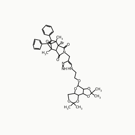 CC1(C)OCC2OC(OCCN/C=C(/CN3C(=O)C4C5(C)C(=O)C(C)(C(c6ccccc6)=C5c5ccccc5)C4(Br)C3=O)N=N)C3OC(C)(C)OC3C2O1